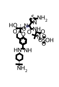 CC1(C)[C@H](NC(=O)/C(=N\O[C@](C)(C(=O)O)[C@H]2CCc3cc(C(=N)N[C@H]4CC[C@@H](C(C)(C)N)CC4)ccc3O2)c2csc(N)n2)C(=O)N1OS(=O)(=O)O